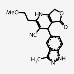 COCCC1=C(C#N)C(c2ccc3[nH]nc(C)c3c2)C2=C(COC2=O)N1